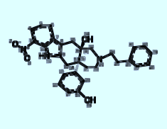 O=[N+]([O-])c1cccc2c3c([nH]c12)C[C@]1(c2cccc(O)c2)CCN(CCc2ccccc2)C[C@@]1(O)C3